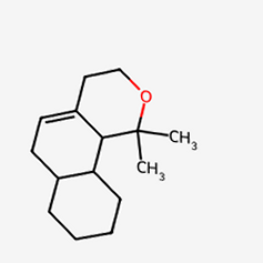 CC1(C)OCCC2=CCC3CCCCC3C21